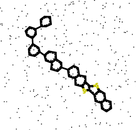 c1ccc(-c2cccc(-c3cccc(-c4ccc5cc(-c6ccc7cc8c(cc7c6)sc6c7cc9ccccc9cc7sc86)ccc5c4)c3)c2)cc1